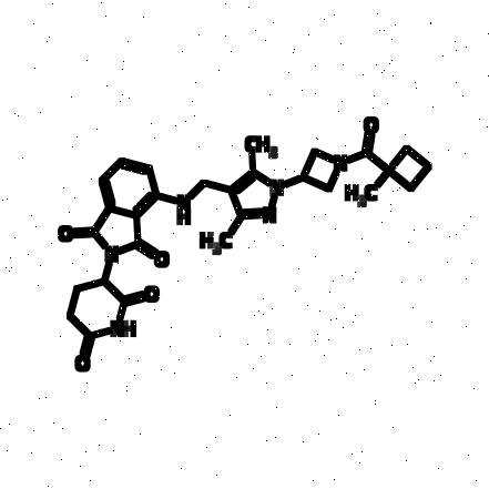 Cc1nn(C2CN(C(=O)C3(C)CCC3)C2)c(C)c1CNc1cccc2c1C(=O)N(C1CCC(=O)NC1=O)C2=O